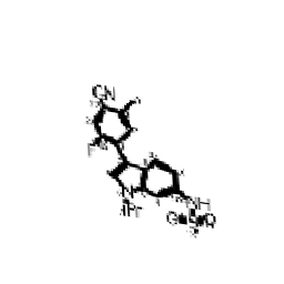 Cc1cc(-c2cn(C(C)C)c3cc(NS(C)(=O)=O)ccc23)c(F)cc1C#N